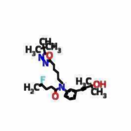 C=C(F)CCC(=O)N(CCCCCc1nnc(C(C)(C)C)o1)c1cccc(C#CC(C)(C)O)c1